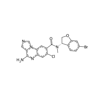 CN(C(=O)c1cc2c(cc1Cl)nc(N)c1cncn12)[C@@H]1COc2cc(Br)ccc21